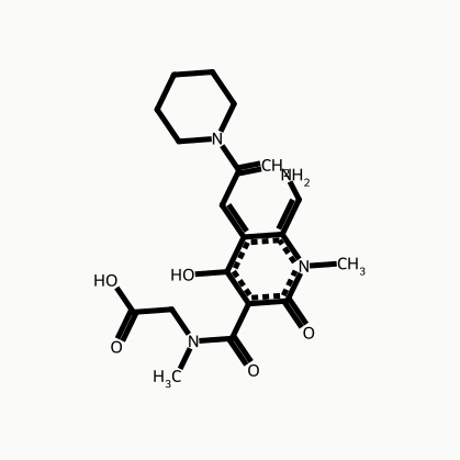 C=C(/C=c1/c(O)c(C(=O)N(C)CC(=O)O)c(=O)n(C)/c1=C/N)N1CCCCC1